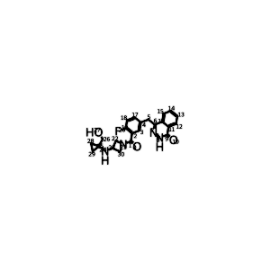 O=C(c1cc(Cc2n[nH]c(=O)c3ccccc23)ccc1F)N1CC(NC2(CO)CC2)C1